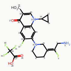 NC/C(F)=C1/CCCN(c2cc3c(cc2F)c(=O)c(C(=O)O)cn3C2CC2)C1.O=C(O)C(F)(F)F